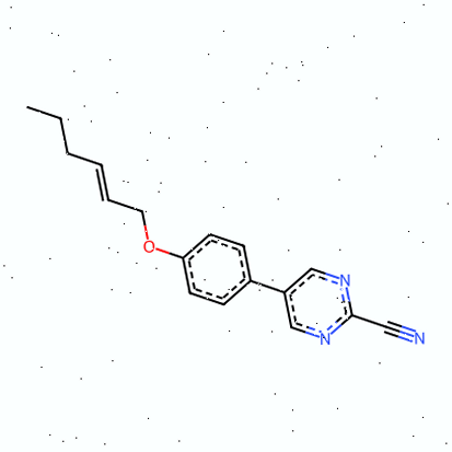 CCCC=CCOc1ccc(-c2cnc(C#N)nc2)cc1